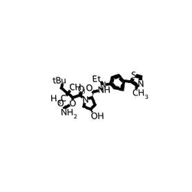 CCN(NC(=O)[C@@H]1C[C@@H](O)CN1C(=O)C(OC(N)=O)C(C)(C)CC(C)(C)C)c1ccc(-c2scnc2C)cc1